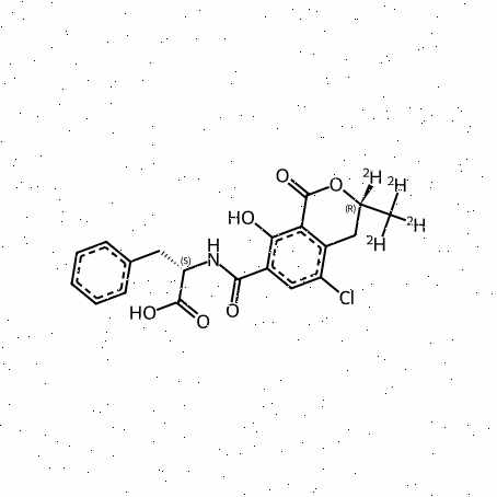 [2H]C([2H])([2H])[C@]1([2H])Cc2c(Cl)cc(C(=O)N[C@@H](Cc3ccccc3)C(=O)O)c(O)c2C(=O)O1